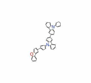 C1=CC(n2c3ccccc3c3cc(-c4ccc5c(c4)c4ccccc4n5-c4ccc(-c5ccc6oc7ccccc7c6c5)cc4)ccc32)=CCC1